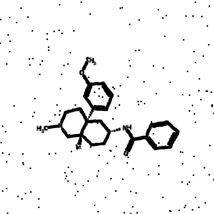 COc1cccc([C@@]23CCN(C)C[C@H]2CC[C@@H](NC(=O)c2ccccc2)C3)c1